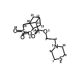 O=C(OCCN1CCSCC1)C1C2CC3OS(=O)(=O)C1C3C2